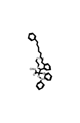 COC(=O)C(O[SiH](c1ccccc1)c1ccccc1)(C(SCCC(=O)O)c1ccccc1CCCCCCCCc1ccccc1)C(C)(C)C